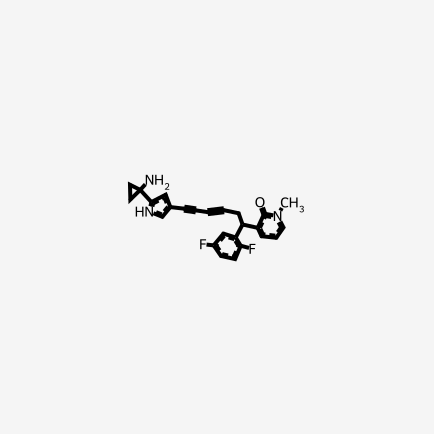 Cn1cccc(C(CC#CC#Cc2c[nH]c(C3(N)CC3)c2)c2cc(F)ccc2F)c1=O